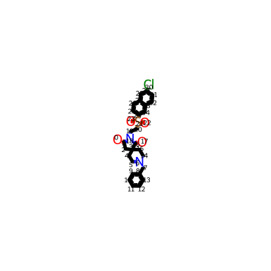 O=C1CC2(CCN(Cc3ccccc3)CC2)C(=O)N1CCS(=O)(=O)c1ccc2cc(Cl)ccc2c1